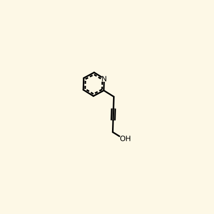 OCC#CCc1ccccn1